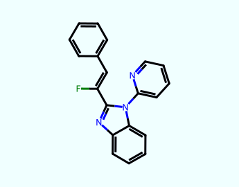 FC(=Cc1ccccc1)c1nc2ccccc2n1-c1ccccn1